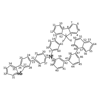 CC1(C)c2ccccc2-c2cccc(-c3ccc(N(c4ccc(-c5ccc6c(c5)sc5ccccc56)cc4)c4cccc(-c5cccc(-c6cccc7ccccc67)c5)c4)cc3)c21